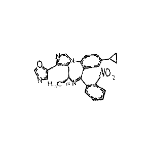 C[C@@H]1N=C(c2ccccc2[N+](=O)[O-])c2cc(C3CC3)ccc2-n2cnc(-c3cnco3)c21